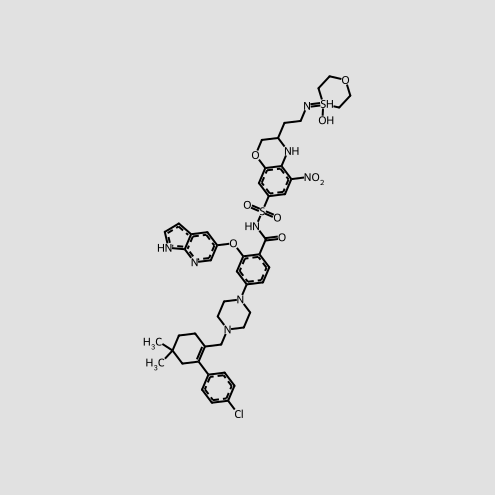 CC1(C)CCC(CN2CCN(c3ccc(C(=O)NS(=O)(=O)c4cc5c(c([N+](=O)[O-])c4)NC(CCN=[SH]4(O)CCOCC4)CO5)c(Oc4cnc5[nH]ccc5c4)c3)CC2)=C(c2ccc(Cl)cc2)C1